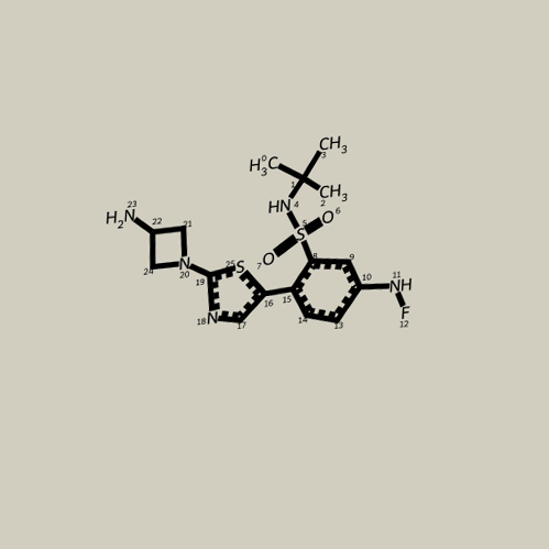 CC(C)(C)NS(=O)(=O)c1cc(NF)ccc1-c1cnc(N2CC(N)C2)s1